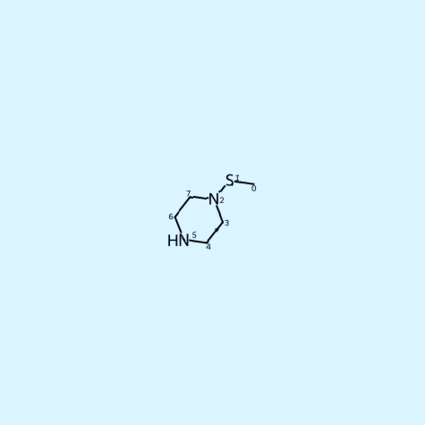 CSN1CCNCC1